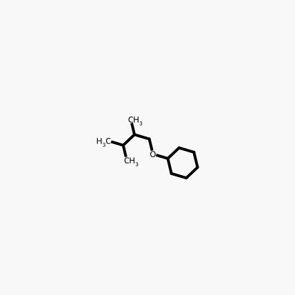 CC(C)C(C)COC1CCCCC1